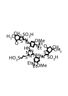 CCN(CC)c1cc(Nc2nc(Nc3cc(N(CC)CC)c(OC)cc3/N=N/c3sc4c(c3S(=O)(=O)O)CC(C)(C)CC4=O)nc(SCCS(=O)(=O)O)n2)c(/N=N/c2sc3c(c2S(=O)(=O)O)CC(C)(C)CC3=O)cc1OC